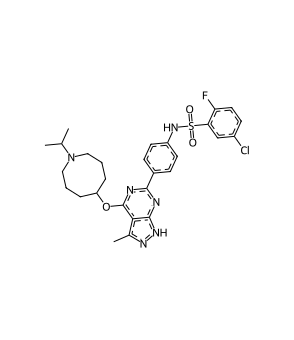 Cc1n[nH]c2nc(-c3ccc(NS(=O)(=O)c4cc(Cl)ccc4F)cc3)nc(OC3CCCN(C(C)C)CCC3)c12